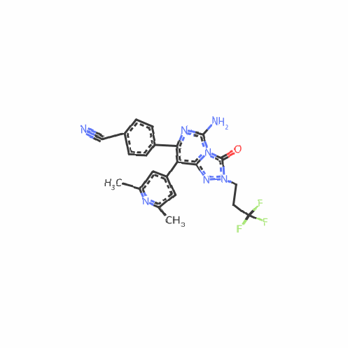 Cc1cc(-c2c(-c3ccc(C#N)cc3)nc(N)n3c(=O)n(CCC(F)(F)F)nc23)cc(C)n1